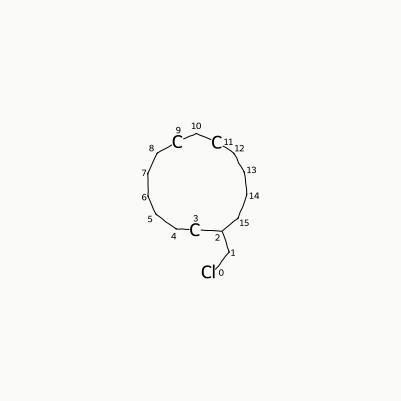 ClCC1CCCCCCCCCCCCC1